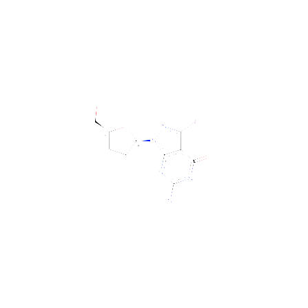 Nc1nc2c(c(I)nn2[C@H]2CC[C@@H](CO)O2)c(=O)[nH]1